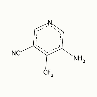 N#Cc1cncc(N)c1C(F)(F)F